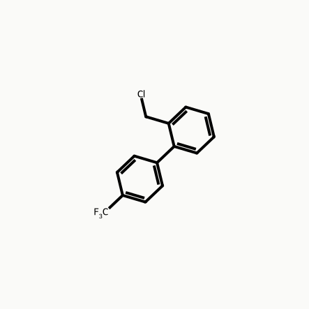 FC(F)(F)c1ccc(-c2ccccc2CCl)cc1